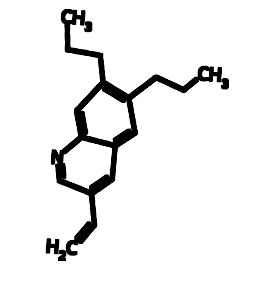 C=Cc1cnc2cc(CCC)c(CCC)cc2c1